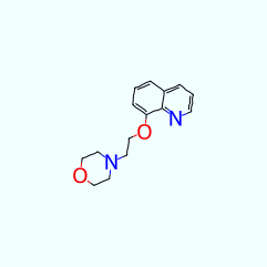 c1cnc2c(OCCN3CCOCC3)cccc2c1